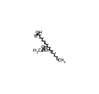 CCCCCCCCCCCCCCCCCC(=O)O.CCO.[CaH2]